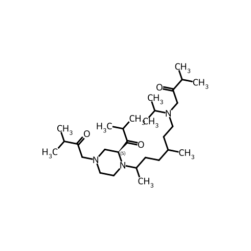 CC(CCC(C)N1CCN(CC(=O)C(C)C)C[C@H]1C(=O)C(C)C)CCN(CC(=O)C(C)C)C(C)C